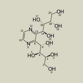 OC[C@H](O)[C@@H](O)[C@@H](O)c1nccnc1[C@H](O)[C@H](O)[C@@H](O)CO